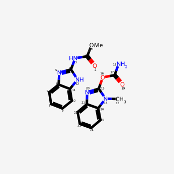 COC(=O)Nc1nc2ccccc2[nH]1.Cn1c(OC(N)=O)nc2ccccc21